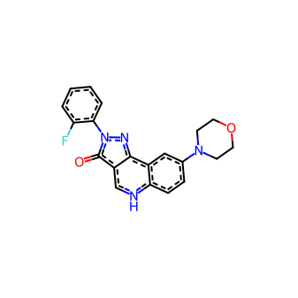 O=c1c2c[nH]c3ccc(N4CCOCC4)cc3c-2nn1-c1ccccc1F